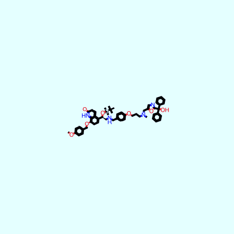 COc1ccc(COc2ccc([C@H](CNCc3ccc(OCCCN(C)Cc4cnc(C(O)(c5ccccc5)c5ccccc5)o4)cc3)O[Si](C)(C)C(C)(C)C)c3ccc(=O)[nH]c23)cc1